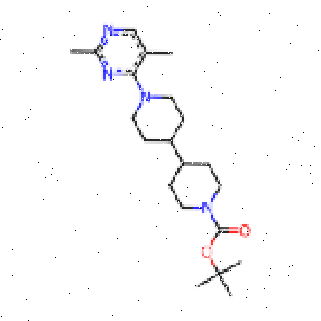 Cc1ncc(C)c(N2CCC(C3CCN(C(=O)OC(C)(C)C)CC3)CC2)n1